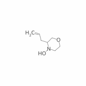 C=CCC1COCCN1O